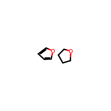 C1CCOC1.c1ccoc1